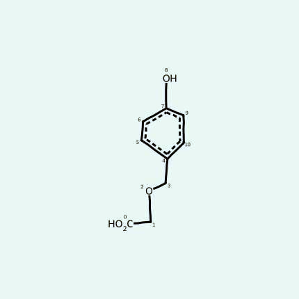 O=C(O)COCc1ccc(O)cc1